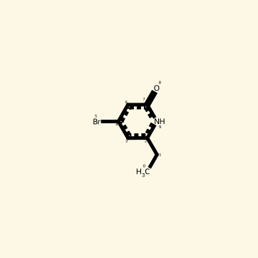 CCc1cc(Br)cc(=O)[nH]1